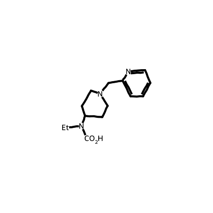 CCN(C(=O)O)C1CCN(Cc2ccccn2)CC1